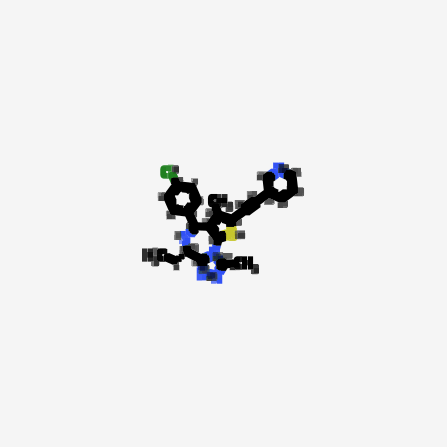 CC[C@@H]1N=C(c2ccc(Cl)cc2)c2c(sc(C#Cc3cccnc3)c2C)-n2c(C)nnc21